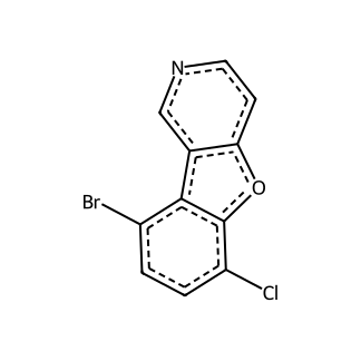 Clc1ccc(Br)c2c1oc1ccncc12